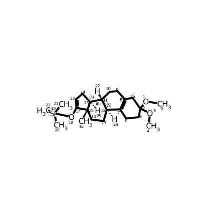 COC1(OC)CCC2=C(CC[C@@H]3[C@@H]2CC[C@]2(C)C(O[Si](C)(C)C)=CC[C@@H]32)C1